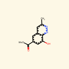 COC(=O)c1cc(O)c2nnc(C)cc2c1